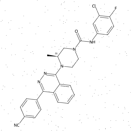 C[C@H]1CN(C(=O)Nc2ccc(F)c(Cl)c2)CCN1c1nnc(-c2ccc(C#N)cc2)c2ccccc12